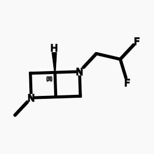 CN1C[C@H]2C1CN2CC(F)F